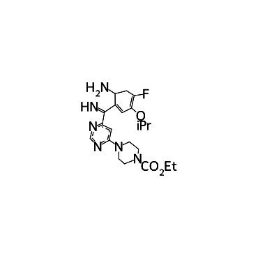 CCOC(=O)N1CCN(c2cc(C(=N)C3=CC(OC(C)C)=C(F)CC3N)ncn2)CC1